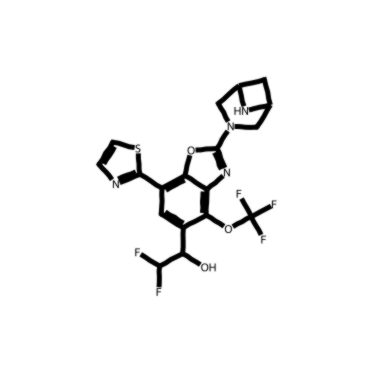 OC(c1cc(-c2nccs2)c2oc(N3CC4CC(C3)N4)nc2c1OC(F)(F)F)C(F)F